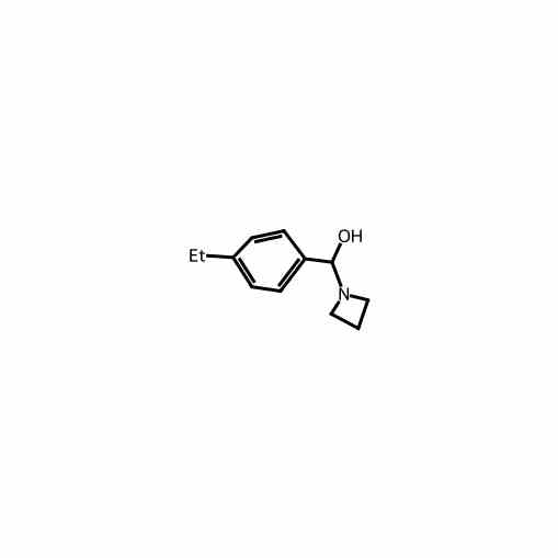 CCc1ccc(C(O)N2CCC2)cc1